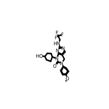 COc1ccc(N2Cc3cnc(NCC(F)(F)F)nc3N(C3CCC(O)CC3)C2=O)cc1